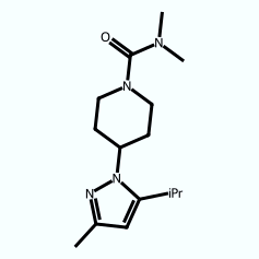 Cc1cc(C(C)C)n(C2CCN(C(=O)N(C)C)CC2)n1